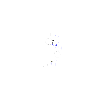 CN(C)c1nc(NC2CCC(NC(=S)NC(C)(C)C)CC2)nc2c1CCCC2